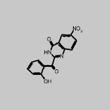 O=C(c1nc2ccc([N+](=O)[O-])cc2c(=O)[nH]1)c1ccccc1O